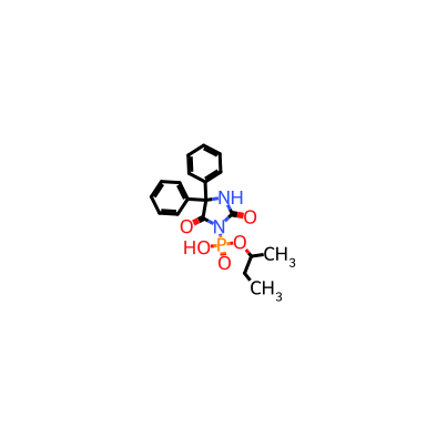 CCC(C)OP(=O)(O)N1C(=O)NC(c2ccccc2)(c2ccccc2)C1=O